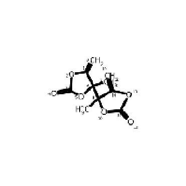 C=C1OC(=O)OC1(C)C1(C)OC(=O)OC1=C